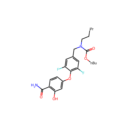 CCCCOC(=O)N(CCC(C)C)Cc1cc(F)c(Oc2ccc(C(N)=O)c(O)c2)c(F)c1